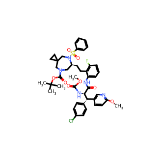 COC(=O)N[C@H](C(=O)Nc1cccc(F)c1CC[C@H]1CN(C(=O)OC(C)(C)C)CC2(CC2)CN1S(=O)(=O)c1ccccc1)[C@@H](c1ccc(Cl)cc1)c1ccc(OC)nc1